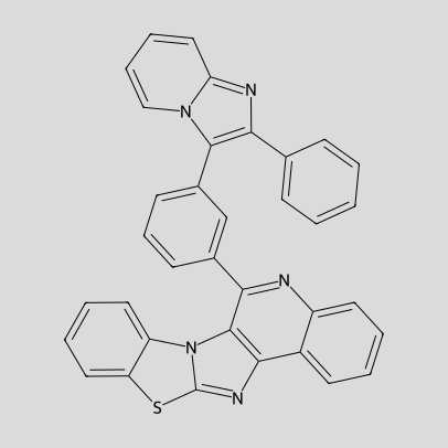 c1ccc(-c2nc3ccccn3c2-c2cccc(-c3nc4ccccc4c4nc5sc6ccccc6n5c34)c2)cc1